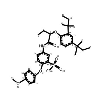 CCC(Oc1ccc(C(C)(C)CC)cc1C(C)(C)CC)C(=O)Nc1ccc(Oc2ccc(OC)cc2)c(S(=O)(=O)Cl)c1